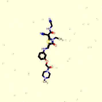 CCn1c(=C(C#N)C(=O)NCC#N)sc(=CNc2cccc(OCC(=O)N3CCN(C)CC3)c2)c1=O